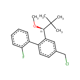 CO[C@H](c1cc(CCl)ccc1-c1ccccc1F)C(C)(C)C